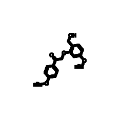 CCCCOc1ccc(C(=O)COc2cc(OCCCC)ccc2CO)cc1